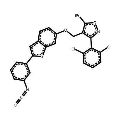 CC(C)c1onc(-c2c(Cl)cccc2Cl)c1COc1ccc2cc(-c3cccc(N=C=O)c3)sc2c1